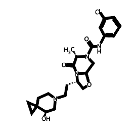 C[C@H]1C(=O)N2C(CN1C(=O)Nc1cccc(Cl)c1)OC[C@@H]2CCN1CCC2(CC2)[C@H](O)C1